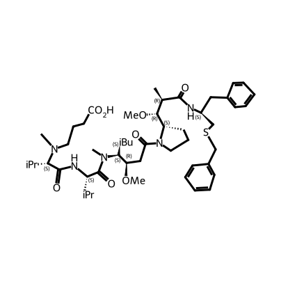 CC[C@H](C)[C@@H]([C@@H](CC(=O)N1CCC[C@H]1[C@H](OC)[C@@H](C)C(=O)N[C@H](CSCc1ccccc1)Cc1ccccc1)OC)N(C)C(=O)[C@@H](NC(=O)[C@H](C(C)C)N(C)CCCC(=O)O)C(C)C